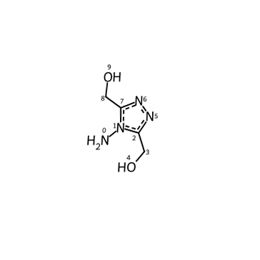 Nn1c(CO)nnc1CO